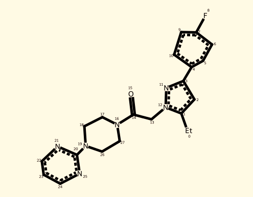 CCc1cc(-c2ccc(F)cc2)nn1CC(=O)N1CCN(c2ncccn2)CC1